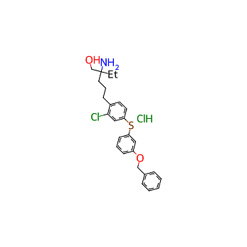 CCC(N)(CO)CCCc1ccc(Sc2cccc(OCc3ccccc3)c2)cc1Cl.Cl